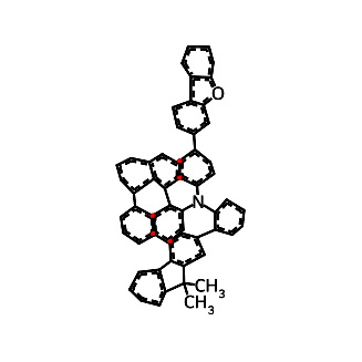 CC1(C)c2ccccc2-c2ccc(-c3ccccc3N(c3ccc(-c4ccc5c(c4)oc4ccccc45)cc3)c3ccccc3-c3cccc4cccc(-c5ccccc5)c34)cc21